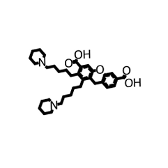 O=C(O)c1ccc2c(c1)Oc1cc(C(=O)O)c(CCCCCN3CCCCC3)c(CCCCCN3CCCCC3)c1C2